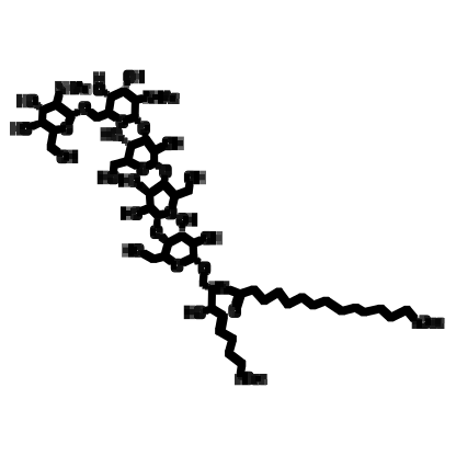 CCCCCCCCCCCCC/C=C/[C@@H](O)[C@H](CO[C@@H]1OC(CO)[C@@H](O[C@@H]2OC(CO)[C@H](O[C@@H]3OC(CO)[C@H](O)[C@H](O[C@@H]4OC(CO[C@@H]5OC(CO)[C@@H](O)[C@H](O)C5NC(C)=O)[C@H](O)[C@H](O)C4NC(C)=O)C3O)[C@H](O)C2O)[C@H](O)C1O)NC(=O)CCCCCCCCCCCCCCCCCCCCCCC